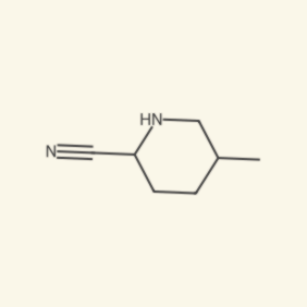 CC1CCC(C#N)NC1